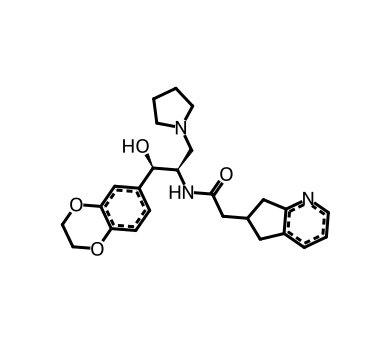 O=C(CC1Cc2cccnc2C1)N[C@H](CN1CCCC1)[C@H](O)c1ccc2c(c1)OCCO2